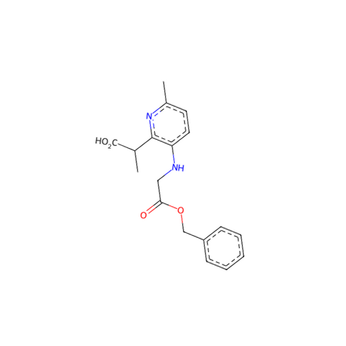 Cc1ccc(NCC(=O)OCc2ccccc2)c(C(C)C(=O)O)n1